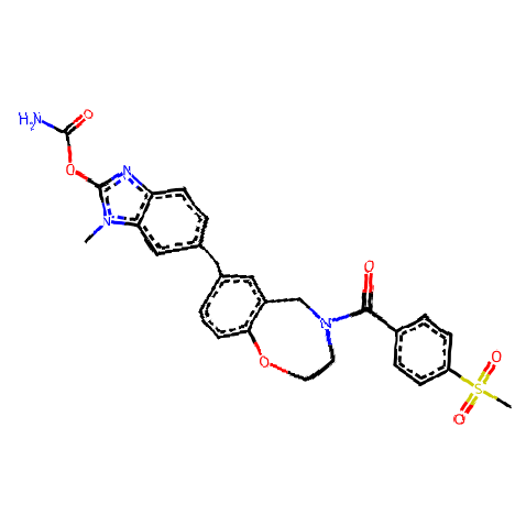 Cn1c(OC(N)=O)nc2ccc(-c3ccc4c(c3)CN(C(=O)c3ccc(S(C)(=O)=O)cc3)CCO4)cc21